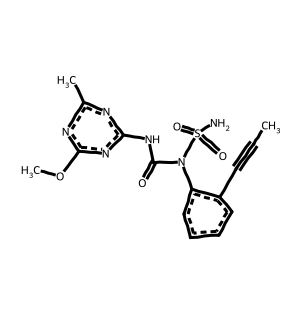 CC#Cc1ccccc1N(C(=O)Nc1nc(C)nc(OC)n1)S(N)(=O)=O